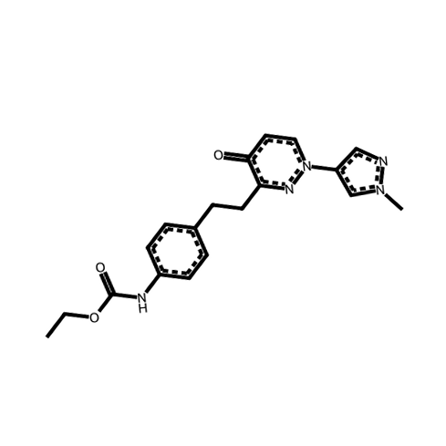 CCOC(=O)Nc1ccc(CCc2nn(-c3cnn(C)c3)ccc2=O)cc1